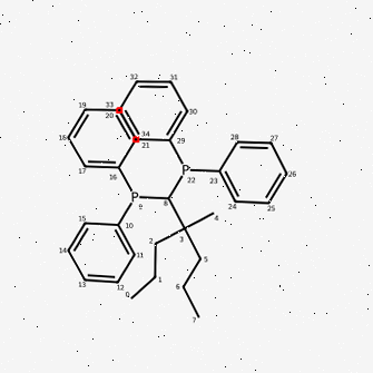 CCCC(C)(CCC)C(P(c1ccccc1)c1ccccc1)P(c1ccccc1)c1ccccc1